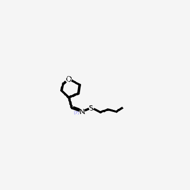 CCCCS/N=C\C1CCOCC1